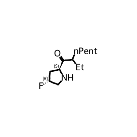 CCCCCC(CC)C(=O)[C@@H]1C[C@@H](F)CN1